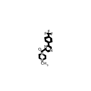 CN1CCN(C(=O)c2cncc(-c3ccc(C(F)(F)F)cc3)n2)CC1